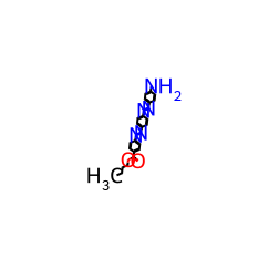 CCCCOC(=O)c1ccc(N=Nc2ccc(N=Nc3ccc(N)cc3)cc2)cc1